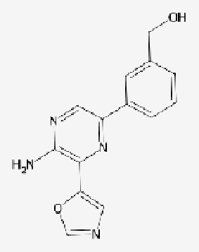 Nc1ncc(-c2cccc(CO)c2)nc1-c1cnco1